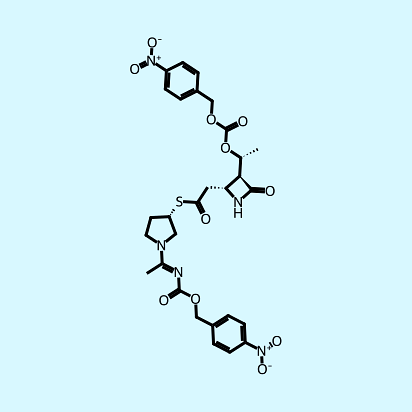 C/C(=N\C(=O)OCc1ccc([N+](=O)[O-])cc1)N1CC[C@H](SC(=O)C[C@H]2NC(=O)[C@@H]2[C@@H](C)OC(=O)OCc2ccc([N+](=O)[O-])cc2)C1